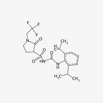 CC(C)c1cccc(C(C)C)c1NC(=O)NS(=O)(=O)C1CCN(CC(F)(F)F)C1=O